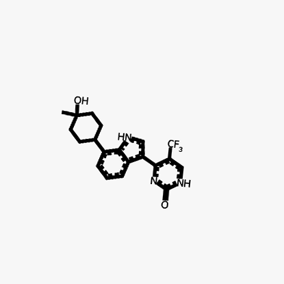 CC1(O)CCC(c2cccc3c(-c4nc(=O)[nH]cc4C(F)(F)F)c[nH]c23)CC1